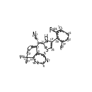 N#CC(C(=O)c1cncnc1C(F)(F)F)=C1NC(c2c(F)cccc2F)=CS1